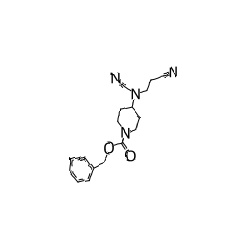 N#CCCN(C#N)C1CCN(C(=O)OCc2ccccc2)CC1